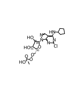 CP(=O)(O)OOC[C@H]1O[C@@H](n2ncc3c(NC4CCCC4)nc(Cl)nc32)[C@H](O)[C@@H]1O